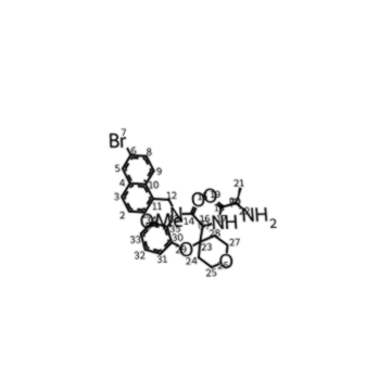 COc1ccc2cc(Br)ccc2c1CN1C(=O)[C@@H](NC(=O)[C@@H](C)N)C2(CCOCC2)Oc2ccccc21